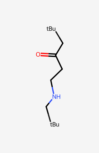 CC(C)(C)CNCCC(=O)CC(C)(C)C